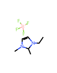 CCN1C=CN(C)C1C.F[B-](F)(F)F